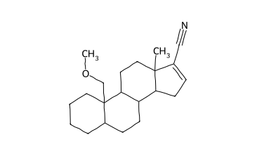 COCC12CCCCC1CCC1C3CC=C(C#N)C3(C)CCC12